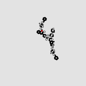 Cc1cc(CC(NC(=O)N2CCC(c3cc4ccccc4n(COC(=O)CN(C)C(=O)OCc4ccccc4)c3=O)CC2)C(=O)N2CCN(C3CCN(C)CC3)CC2)cc2cn(COC(=O)CN(C)C(=O)OCc3ccccc3)nc12